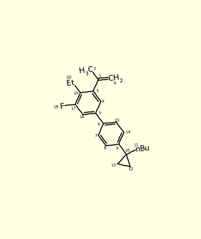 C=C(C)c1cc(-c2ccc(C3(CCCC)CC3)cc2)cc(F)c1CC